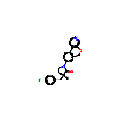 [2H]C1(Cc2ccc(F)cc2)CCN(c2ccc3c(c2)COc2cnccc2-3)C1=O